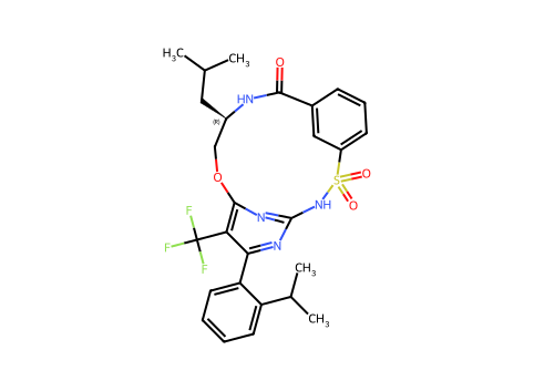 CC(C)C[C@@H]1COc2nc(nc(-c3ccccc3C(C)C)c2C(F)(F)F)NS(=O)(=O)c2cccc(c2)C(=O)N1